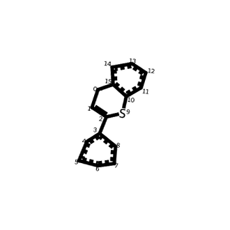 [CH]1C=C(c2ccccc2)Sc2ccccc21